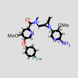 C=C1/C(=C\N(C)C(=O)c2cc(OC)c(Oc3ccc(F)cc3)cn2)N1c1cnc(N)cc1OC